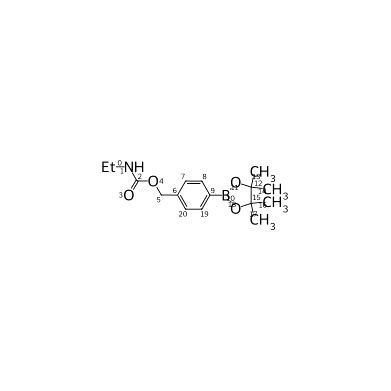 CCNC(=O)OCc1ccc(B2OC(C)(C)C(C)(C)O2)cc1